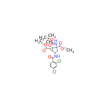 CCOC(=O)C1C2C(NC(=O)c3ccc(Cl)cc3Cl)CC(NC(=O)OC(C)(C)C)(C(=O)OCC)C12